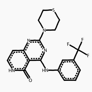 O=c1[nH]ccc2nc(N3CCSCC3)nc(Nc3cccc(C(F)(F)F)c3)c12